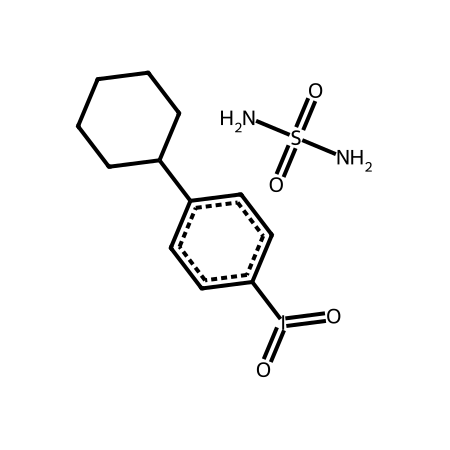 NS(N)(=O)=O.O=I(=O)c1ccc(C2CCCCC2)cc1